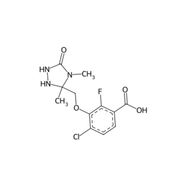 CN1C(=O)NNC1(C)COc1c(Cl)ccc(C(=O)O)c1F